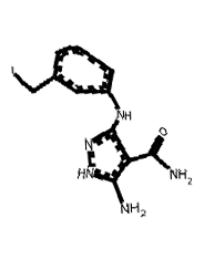 NC(=O)c1c(Nc2cccc(CI)c2)n[nH]c1N